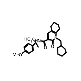 COc1ccc(C(C)(NC(=O)c2cc3c(n(CC4CCCCC4)c2=O)CCCC3)C(=O)O)cc1